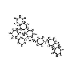 c1ccc2c(c1)-c1c(Nc3ccc(-c4ccc5sc6ccccc6c5c4)cc3)cccc1C21c2ccccc2-c2c1ccc1ccccc21